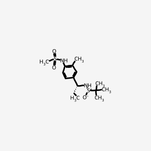 CC[C@@H](N[S+]([O-])C(C)(C)C)c1ccc(NS(C)(=O)=O)c(C)c1